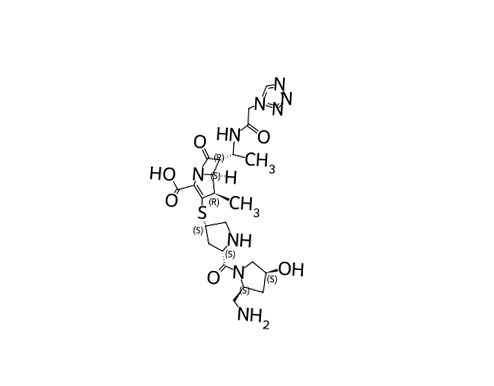 CC(NC(=O)Cn1cnnn1)[C@H]1C(=O)N2C(C(=O)O)=C(S[C@@H]3CN[C@H](C(=O)N4C[C@@H](O)C[C@H]4CN)C3)[C@H](C)[C@H]12